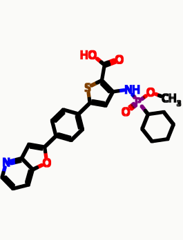 COP(=O)(Nc1cc(-c2ccc(-c3cc4ncccc4o3)cc2)sc1C(=O)O)C1CCCCC1